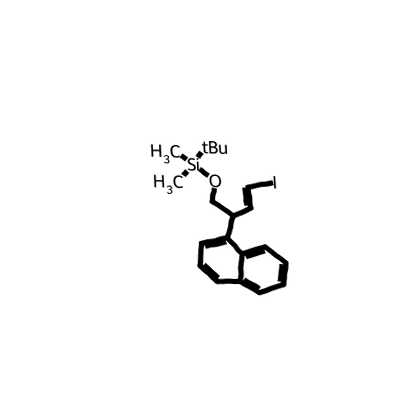 CC(C)(C)[Si](C)(C)OCC(C=CI)c1cccc2ccccc12